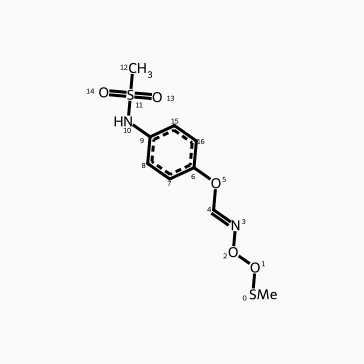 CSOO/N=C/Oc1ccc(NS(C)(=O)=O)cc1